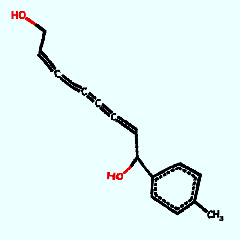 Cc1ccc(C(O)C=C=C=C=C=CCO)cc1